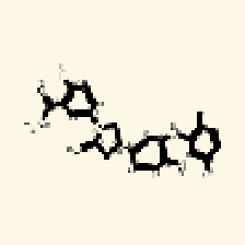 Cc1ccc(F)cc1Oc1cc([C@H]2CC(=O)N(c3ccc(F)c(C(N)=O)c3)C2)ccc1Cl